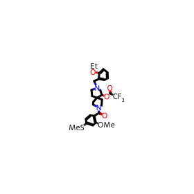 CCOc1ccccc1CN1CCC2(CCN(C(=O)c3ccc(SC)cc3OC)CC2)C(OC(=O)C(F)(F)F)C1